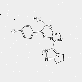 CC1Sc2nnc(-c3[nH]nc4c3CCC4)n2N=C1c1ccc(Cl)cc1